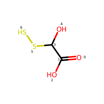 O=C(O)C(O)SS